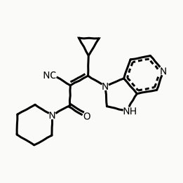 N#CC(C(=O)N1CCCCC1)=C(C1CC1)N1CNc2cnccc21